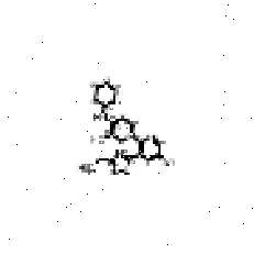 CCc1noc(-c2cc(Br)cnc2N2CC[C@@H](NC3CCCCC3)[C@H](O)C2)n1